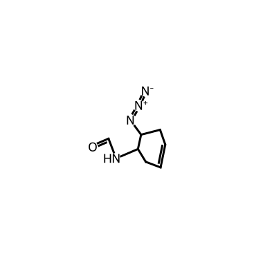 [N-]=[N+]=NC1CC=CCC1NC=O